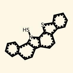 Sn1c2c3ccccc3ccc2c2ccc3c4ccccc4sc3c21